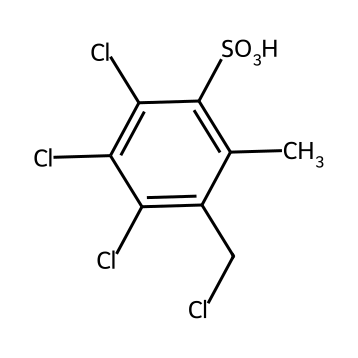 Cc1c(CCl)c(Cl)c(Cl)c(Cl)c1S(=O)(=O)O